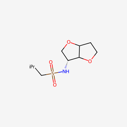 CC(C)CS(=O)(=O)N[C@@H]1COC2CCOC21